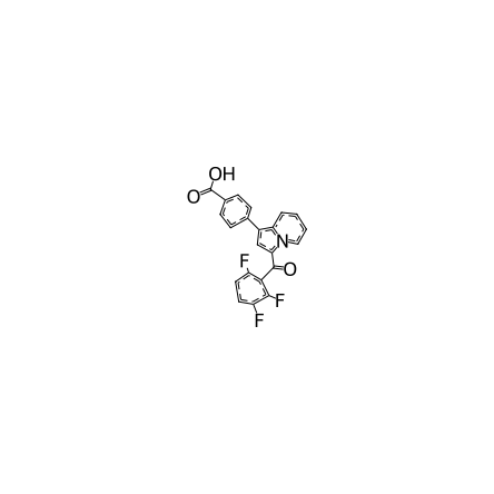 O=C(O)c1ccc(-c2cc(C(=O)c3c(F)ccc(F)c3F)n3ccccc23)cc1